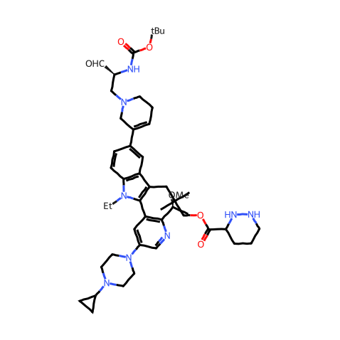 CCn1c(-c2cc(N3CCN(C4CC4)CC3)cnc2[C@H](C)OC)c(CC(C)(C)COC(=O)C2CCCNN2)c2cc(C3=CCCN(C[C@@H](C=O)NC(=O)OC(C)(C)C)C3)ccc21